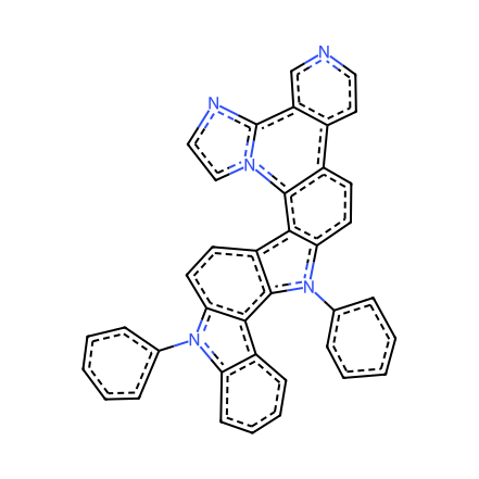 c1ccc(-n2c3ccccc3c3c2ccc2c4c(ccc5c6ccncc6c6nccn6c54)n(-c4ccccc4)c23)cc1